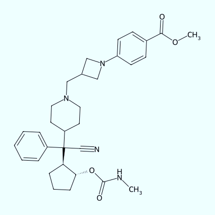 CNC(=O)O[C@@H]1CCC[C@H]1C(C#N)(c1ccccc1)C1CCN(CC2CN(c3ccc(C(=O)OC)cc3)C2)CC1